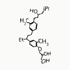 CCC(CCc1ccc(CCC(O)CC(C)C)c(C)c1)c1ccc(OC[C@@H](O)CO)c(C)c1